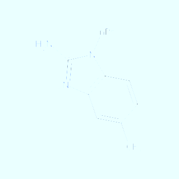 CCCn1c(N)nc2cc(C(F)(F)F)ccc21